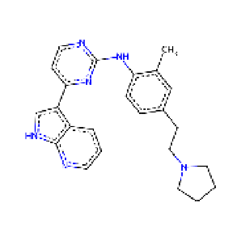 Cc1cc(CCN2CCCC2)ccc1Nc1nccc(-c2c[nH]c3ncccc23)n1